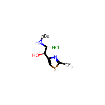 CCCCNC[C@H](O)c1csc(C(F)(F)F)n1.Cl